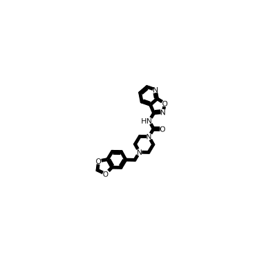 O=C(Nc1noc2ncccc12)N1CCN(Cc2ccc3c(c2)OCO3)CC1